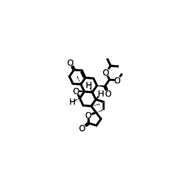 COC(OC(C)C)C(=O)[C@@H]1CC2=CC(=O)CC[C@]2(C)[C@@]23O[C@@H]2C[C@@]2(C)[C@@H](CC[C@@]24CCC(=O)O4)[C@H]13